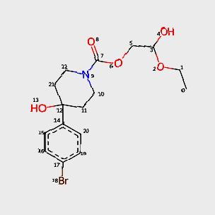 CCOC(O)COC(=O)N1CCC(O)(c2ccc(Br)cc2)CC1